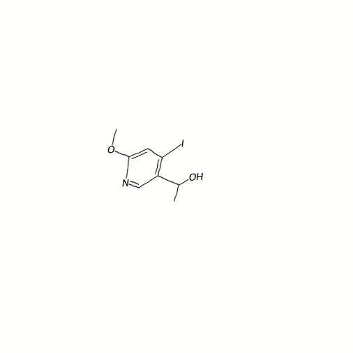 COc1cc(I)c(C(C)O)cn1